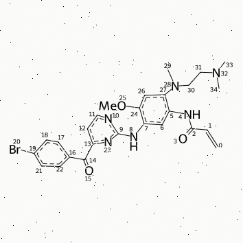 C=CC(=O)Nc1cc(Nc2nccc(C(=O)c3ccc(Br)cc3)n2)c(OC)cc1N(C)CCN(C)C